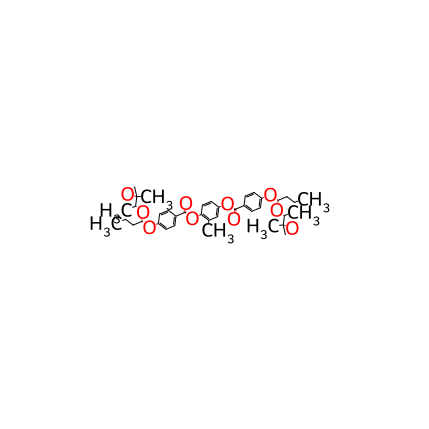 CCCC(Oc1ccc(C(=O)Oc2ccc(OC(=O)c3ccc(OC(CCC)OC(C)C4(C)CO4)cc3)c(C)c2)cc1)OC(C)C1(C)CO1